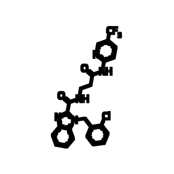 O=C(CCNC(=O)c1nc2ccccc2n1Cc1ccccc1Cl)Nc1ccc(C(F)(F)F)cn1